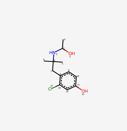 CC(O)NC(C)(C)Cc1ccc(O)cc1Cl